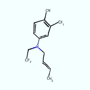 C/C=C/CN(CC(F)(F)F)c1ccc(C#N)c(C(F)(F)F)c1